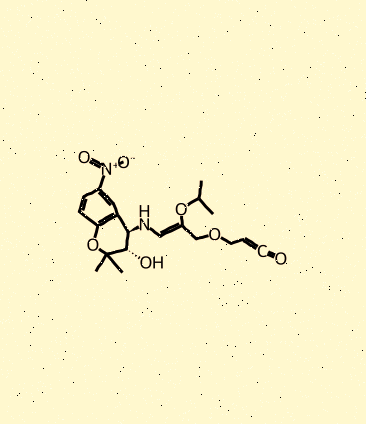 CC(C)OC(=CN[C@@H]1c2cc([N+](=O)[O-])ccc2OC(C)(C)[C@H]1O)COCC=C=O